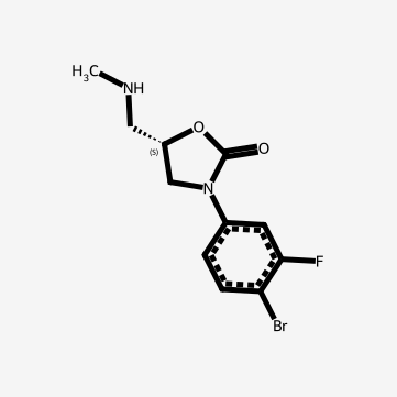 CNC[C@H]1CN(c2ccc(Br)c(F)c2)C(=O)O1